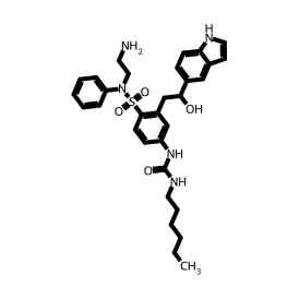 CCCCCCNC(=O)Nc1ccc(S(=O)(=O)N(CCN)c2ccccc2)c(CC(O)c2ccc3[nH]ccc3c2)c1